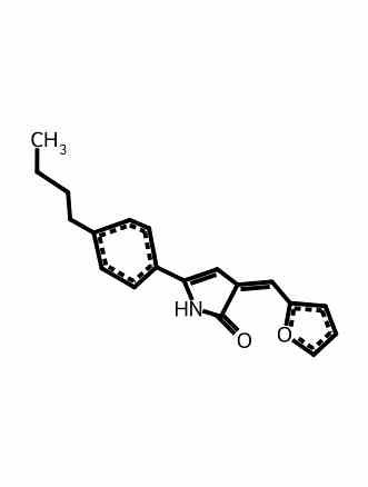 CCCCc1ccc(C2=CC(=Cc3ccco3)C(=O)N2)cc1